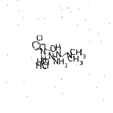 CN(C)CCNC(N)=NC(=O)c1cc2c(Cl)cccc2[nH]1.Cl.Cl